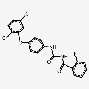 O=C(NC(=O)c1ccccc1F)Nc1ccc(Oc2cc(Cl)ccc2Cl)cc1